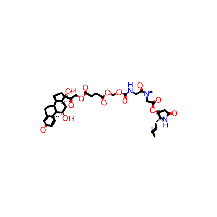 C/C=C/C[C@H]1NC(=O)C[C@@H]1OC(=O)CN(C)C(=O)CNC(=O)OCOC(=O)CCC(=O)OCC(=O)[C@@]1(O)CCC2C3CCC4=CC(=O)C=C[C@]4(C)C3[C@@H](O)C[C@@]21C